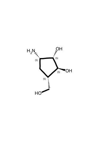 N[C@H]1C[C@@H](CO)[C@H](O)[C@H]1O